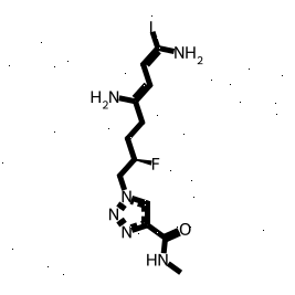 CNC(=O)c1cn(C[C@H](F)CC/C(N)=C/C=C(\N)I)nn1